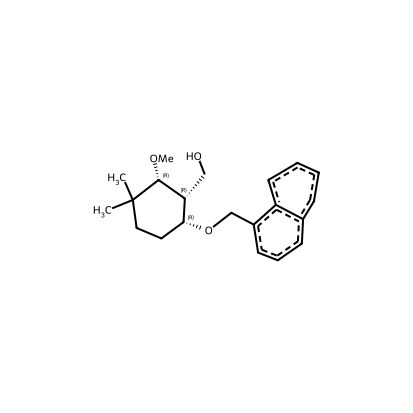 CO[C@@H]1[C@H](CO)[C@H](OCc2cccc3ccccc23)CCC1(C)C